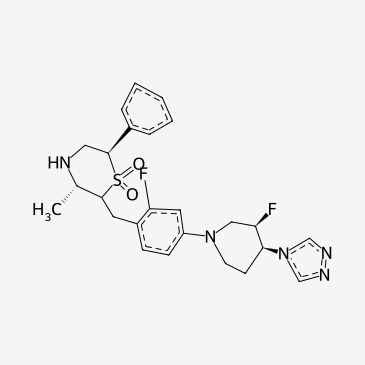 C[C@@H]1NC[C@@H](c2ccccc2)S(=O)(=O)C1Cc1ccc(N2CC[C@H](n3cnnc3)[C@H](F)C2)cc1F